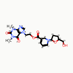 Cn1c(=O)c2c(ncn2CCOC(=O)C2=CC=CN(C3CCC(CO)O3)C2)n(C)c1=O